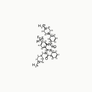 CN1CCC(CN2C(=O)c3ccccc3[C@@H](C(=O)Nc3cccc(N4CCN(C)CC4)c3)[C@@H]2c2ccc(C(F)(F)F)cc2)CC1